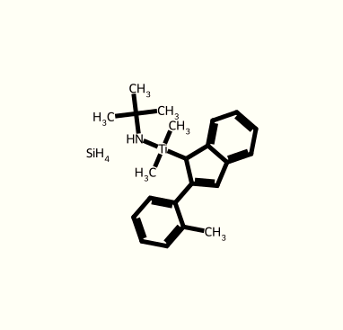 Cc1ccccc1C1=Cc2ccccc2[CH]1[Ti]([CH3])([CH3])[NH]C(C)(C)C.[SiH4]